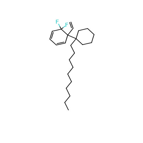 C=CC1(C2(CCCCCCCCCC)CCCCC2)C=CC=CC1(F)F